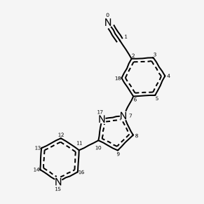 N#Cc1cccc(-n2ccc(-c3cccnc3)n2)c1